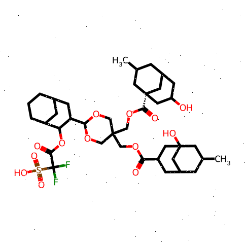 CC1CC2CC(C(=O)OCC3(COC(=O)[C@@]45CC(C)CC(CC(O)C4)C5)COC(C4CC5CCCC(C5)C4OC(=O)C(F)(F)S(=O)(=O)O)OC3)CC(O)(C1)C2